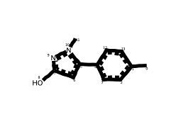 Cc1ccc(-c2cc(O)nn2C)cc1